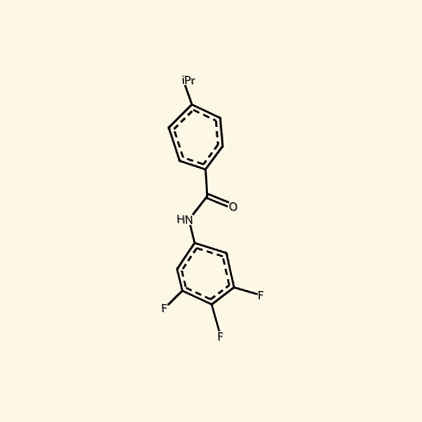 CC(C)c1ccc(C(=O)Nc2cc(F)c(F)c(F)c2)cc1